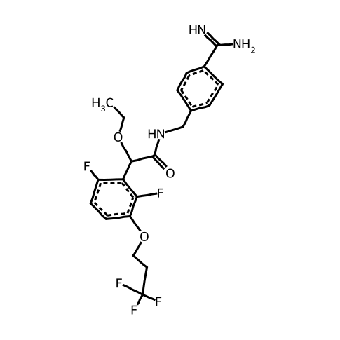 CCOC(C(=O)NCc1ccc(C(=N)N)cc1)c1c(F)ccc(OCCC(F)(F)F)c1F